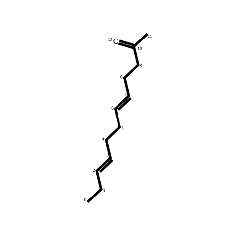 CC/C=C/CC/C=C/CCC(C)=O